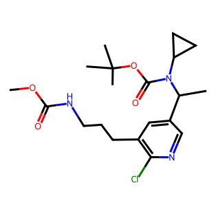 COC(=O)NCCCc1cc(C(C)N(C(=O)OC(C)(C)C)C2CC2)cnc1Cl